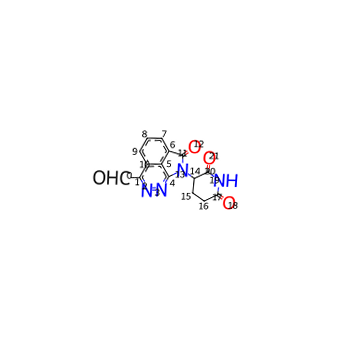 O=Cc1nnc2c3c(cccc13)C(=O)N2C1CCC(=O)NC1=O